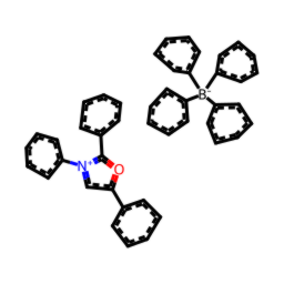 c1ccc(-c2c[n+](-c3ccccc3)c(-c3ccccc3)o2)cc1.c1ccc([B-](c2ccccc2)(c2ccccc2)c2ccccc2)cc1